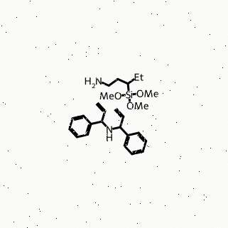 C=CC(NC(C=C)c1ccccc1)c1ccccc1.CCC(CCN)[Si](OC)(OC)OC